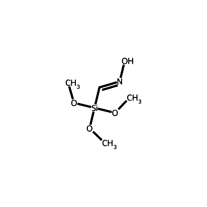 CO[Si](C=NO)(OC)OC